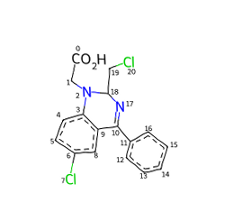 O=C(O)CN1c2ccc(Cl)cc2C(c2ccccc2)=NC1CCl